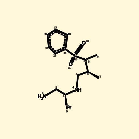 CC(C)[C@@H](CN)NC[C@H](C)N(C)S(=O)(=O)c1ccccc1